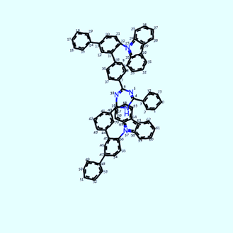 c1ccc(C2=NC(c3ccc(-c4cc(-c5ccccc5)ccc4-n4c5ccccc5c5ccccc54)cc3)=NC(c3cccc(-c4cc(-c5ccccc5)ccc4-n4c5ccccc5c5ccccc54)c3)N2)cc1